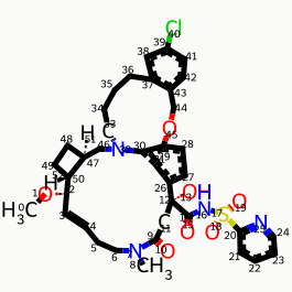 CO[C@H]1/C=C/CCN(C)C(=O)C[C@](O)(C(=O)NS(=O)(=O)c2ccccn2)c2ccc3c(c2)N(CCCCc2cc(Cl)ccc2CO3)C[C@@H]2CC[C@H]21